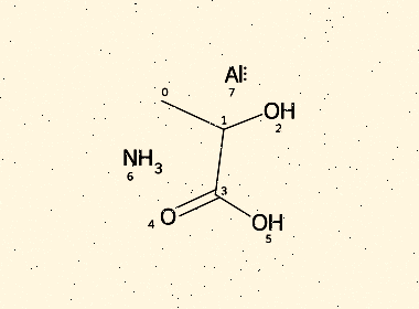 CC(O)C(=O)O.N.[Al]